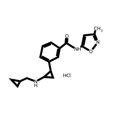 Cc1cc(NC(=O)c2cccc(C3CC3NCC3CC3)c2)on1.Cl